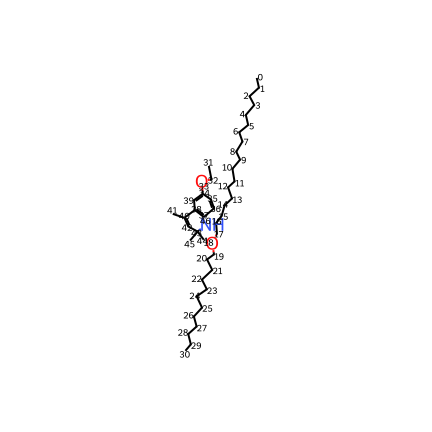 CCCCCCCCCCCCCCCCCCOCCCCCCCCCCCC.CCOc1ccc2c(c1)C(C)=CC(C)(C)N2